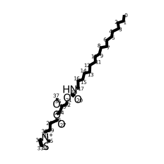 CCCCCCCCCCCCCCCCCCNC(=O)OCC(COC(=O)CCC[n+]1ccsc1)OC